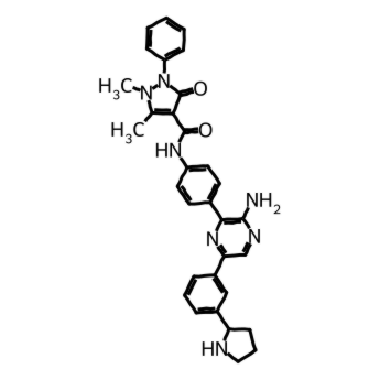 Cc1c(C(=O)Nc2ccc(-c3nc(-c4cccc(C5CCCN5)c4)cnc3N)cc2)c(=O)n(-c2ccccc2)n1C